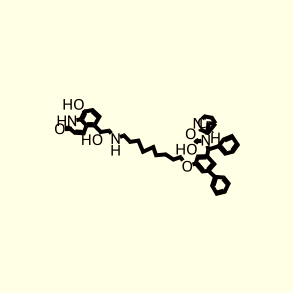 O=C(O)N(C(c1ccccc1)c1cc(OCCCCCCCCCNC[C@H](O)c2ccc(O)c3[nH]c(=O)ccc23)cc(-c2ccccc2)c1)[C@H]1CN2CCC1CC2